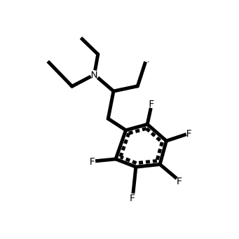 [CH2]CC(Cc1c(F)c(F)c(F)c(F)c1F)N(CC)CC